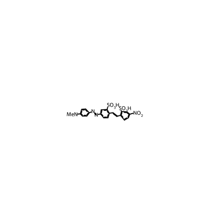 CNc1ccc(N=Nc2ccc(C=Cc3ccc([N+](=O)[O-])cc3S(=O)(=O)O)c(S(=O)(=O)O)c2)cc1